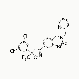 CC(=O)N(Cc1ccccn1)Cc1ccc(C2=NOC(c3cc(Cl)cc(Cl)c3)(C(F)(F)F)C2)cc1Br